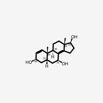 C[C@]12C=C[C@H](O)C[C@H]1C[C@H](O)C1=C3CC[C@H](O)[C@@]3(C)CC[C@@H]12